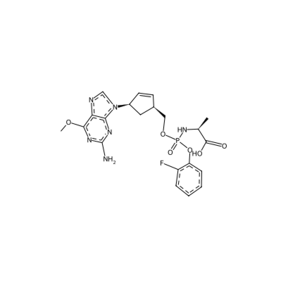 COc1nc(N)nc2c1ncn2[C@H]1C=C[C@@H](COP(=O)(N[C@@H](C)C(=O)O)Oc2ccccc2F)C1